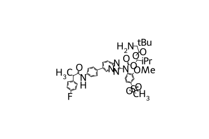 COc1cc(S(C)(=O)=O)ccc1N(C(=O)OC(OC(=O)[C@@H](N)C(C)(C)C)C(C)C)c1nc2ccc(-c3ccc(NC(=O)[C@H](C)c4ccc(F)cc4)cc3)cn2n1